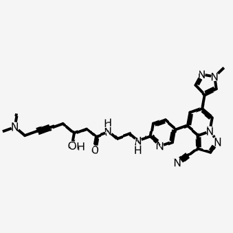 CN(C)CC#CCC(O)CC(=O)NCCNc1ccc(-c2cc(-c3cnn(C)c3)cn3ncc(C#N)c23)cn1